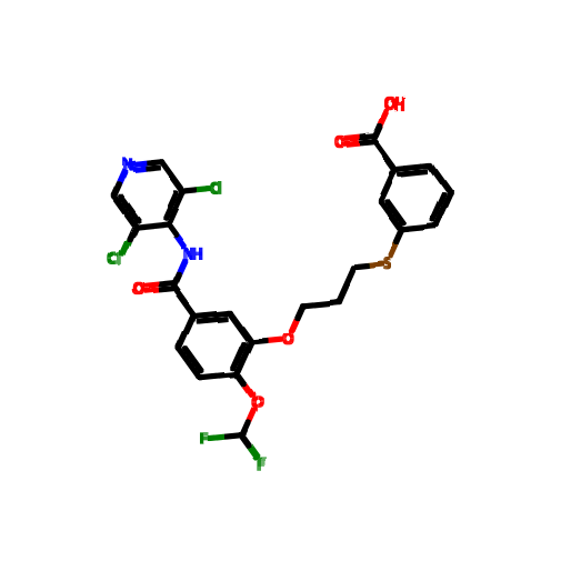 O=C(O)c1cccc(SCCCOc2cc(C(=O)Nc3c(Cl)cncc3Cl)ccc2OC(F)F)c1